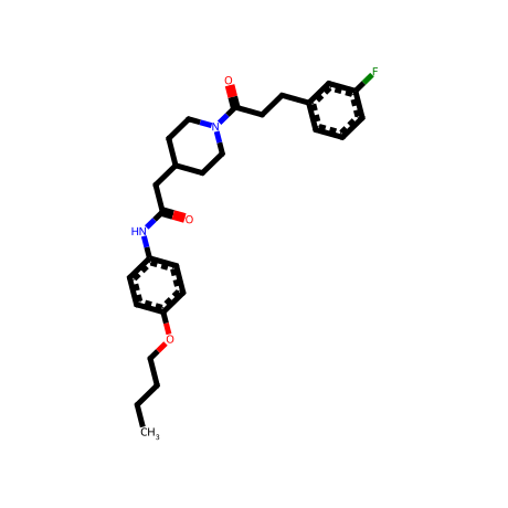 CCCCOc1ccc(NC(=O)CC2CCN(C(=O)CCc3cccc(F)c3)CC2)cc1